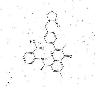 Cc1cc([C@@H](C)Nc2ccccc2C(=O)O)c2oc(-c3ccc(CN4CCCC4=O)cc3)c(C)c(=O)c2c1